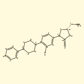 NC[C@H]1CN(c2ccc(N3CCN(c4ccncc4)CC3)c(F)c2)C(=O)O1